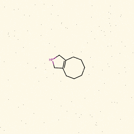 C1CCCC2=C(CC1)CPC2